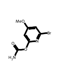 COc1cc(Br)nc(OC(N)=O)c1